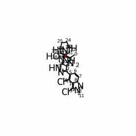 Cc1nc2c(-c3ccc4nn(C)c(Cl)c4c3Cl)n[nH]c2nc1N1[C@@H]2CC[C@H]1[C@@H](O)[C@@H](N)C2